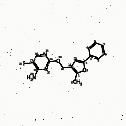 Cc1oc(-c2ccccc2)cc1COc1ncc(F)c(N)n1